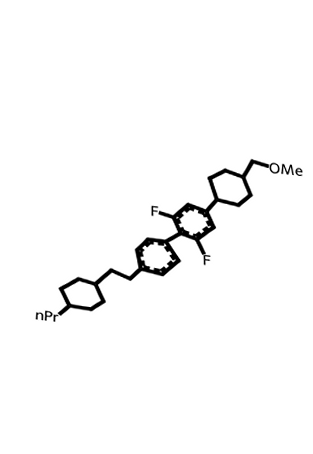 CCCC1CCC(CCc2ccc(-c3c(F)cc(C4CCC(COC)CC4)cc3F)cc2)CC1